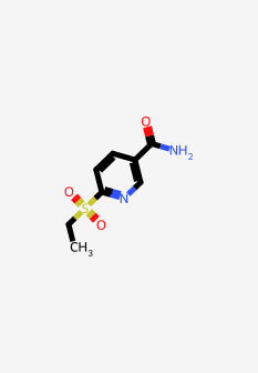 CCS(=O)(=O)c1ccc(C(N)=O)cn1